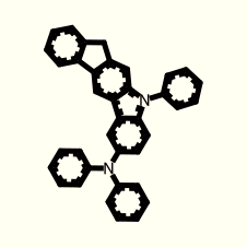 c1ccc(N(c2ccccc2)c2ccc3c(c2)c2cc4c(cc2n3-c2ccccc2)Cc2ccccc2-4)cc1